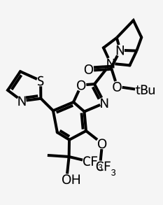 CC(C)(C)OC(=O)N1C2CCC1CN(c1nc3c(OC(F)(F)F)c(C(C)(O)C(F)(F)F)cc(-c4nccs4)c3o1)C2